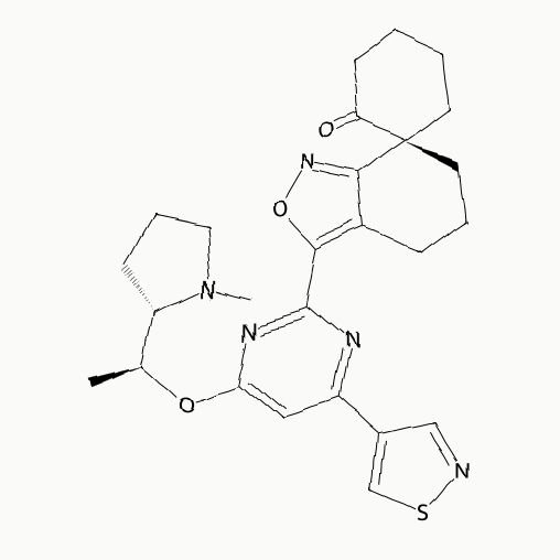 C[C@H](Oc1cc(-c2cnsc2)nc(-c2onc3c2CCC[C@@]32CCCCC2=O)n1)[C@@H]1CCCN1C